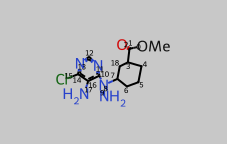 COC(=O)C1CCCC(N(N)c2ncnc(Cl)c2N)C1